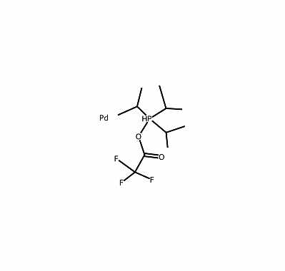 CC(C)[PH](OC(=O)C(F)(F)F)(C(C)C)C(C)C.[Pd]